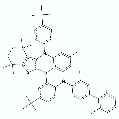 Cc1cc2c3c(c1)N(c1ccc(C(C)(C)C)cc1)c1c(sc4c1C(C)(C)CCC4(C)C)B3c1cc(C(C)(C)C)ccc1N2c1ccc(-c2c(C)cccc2C)cc1C